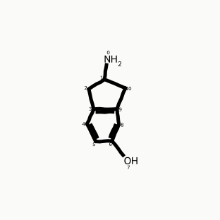 NC1Cc2ccc(O)cc2C1